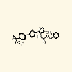 Cc1noc(-c2ccc(-c3ccc(C4(C(=O)O)CC4)cc3)cc2)c1NC(=O)OCc1ccccc1